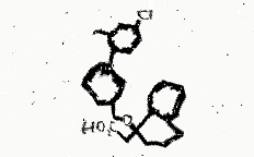 Cc1cc(Cl)ccc1-c1cccc(COC2(CC(=O)O)CCCc3ccccc32)c1